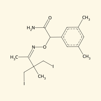 CC(=NOC(C(N)=O)c1cc(C)cc(C)c1)C(C)(CI)CI